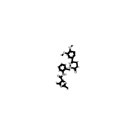 COc1ccc(C2=NN(Cc3ccccc3NC(=O)c3sc(C)nc3C)C(=O)CC2)cc1OC